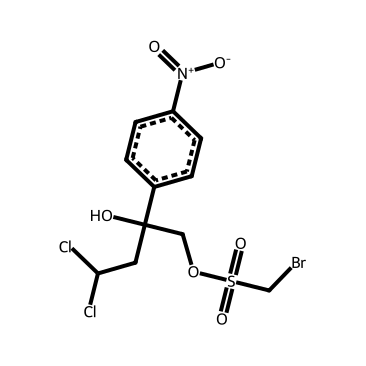 O=[N+]([O-])c1ccc(C(O)(COS(=O)(=O)CBr)CC(Cl)Cl)cc1